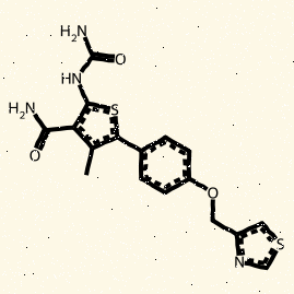 Cc1c(-c2ccc(OCc3cscn3)cc2)sc(NC(N)=O)c1C(N)=O